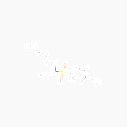 CCCCCCCCCCCCCCC(C(=O)OCC)S(=O)(=O)c1ccc(C)cc1